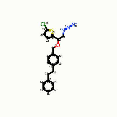 [N-]=[N+]=NCC(OCc1ccc(CCc2ccccc2)cc1)c1ccc(Cl)s1